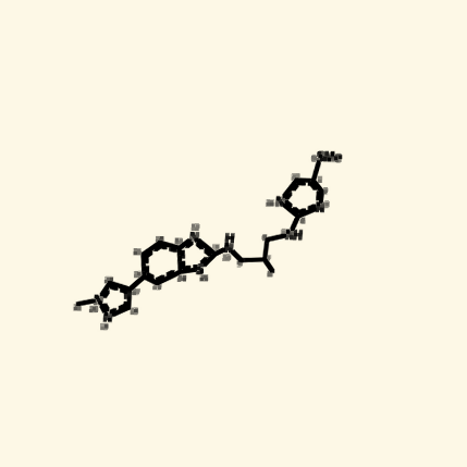 CSc1cnc(NCC(C)CNc2nc3ccc(-c4cnn(C)c4)cc3s2)nc1